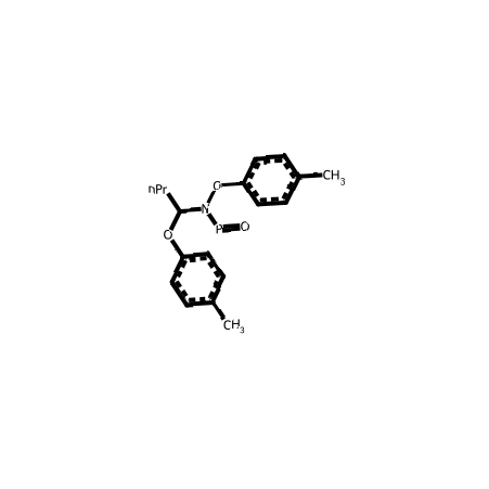 CCCC(Oc1ccc(C)cc1)N(Oc1ccc(C)cc1)P=O